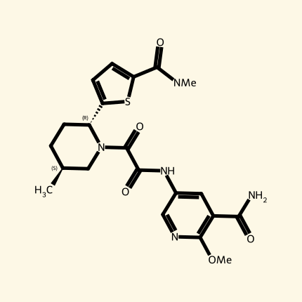 CNC(=O)c1ccc([C@H]2CC[C@H](C)CN2C(=O)C(=O)Nc2cnc(OC)c(C(N)=O)c2)s1